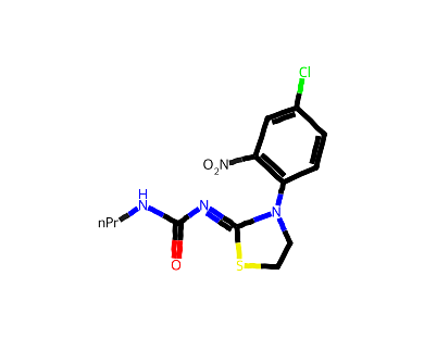 CCCNC(=O)N=C1SCCN1c1ccc(Cl)cc1[N+](=O)[O-]